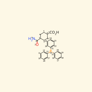 NC(=O)C1CCC(C(=O)O)CC1.c1ccc(P(c2ccccc2)c2ccccc2)cc1